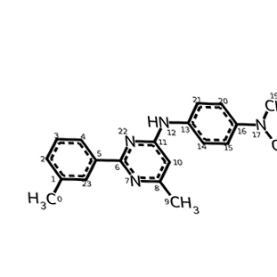 Cc1cccc(-c2nc(C)cc(Nc3ccc(N(C)C)cc3)n2)c1